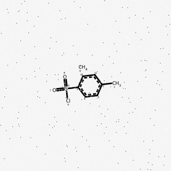 C.Cc1ccc(S(=O)(=O)Cl)cc1